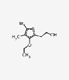 CCOc1c(CCO)sc(Br)c1C